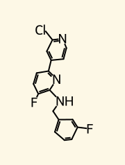 Fc1cccc(CNc2nc(-c3ccnc(Cl)c3)ccc2F)c1